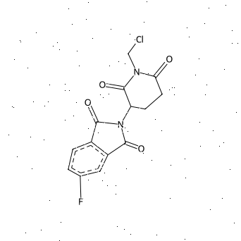 O=C1CCC(N2C(=O)c3ccc(F)cc3C2=O)C(=O)N1CCl